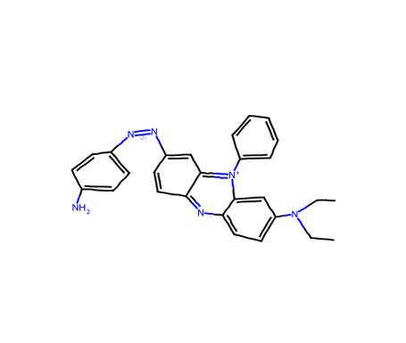 CCN(CC)c1ccc2nc3ccc(/N=N\c4ccc(N)cc4)cc3[n+](-c3ccccc3)c2c1